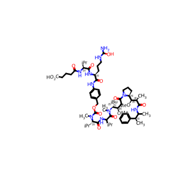 CC[C@H](C)[C@@H]([C@@H](CC(=O)N1CCC[C@H]1[C@H](OC)[C@@H](C)C(=O)NC(C)[C@@H](C)c1ccccc1)OC)N(C)C(=O)C(NC(=O)[C@H](C(C)C)N(C)C(=O)OCc1ccc(NC(=O)[C@H](CCCNC(N)O)NC(=O)[C@@H](NC(=O)CCCC(=O)O)C(C)C)cc1)C(C)C